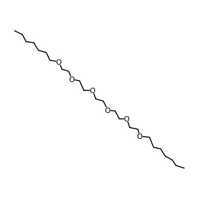 CCCCCCCOCCOCCOCCOCCOCCOCCCCCCC